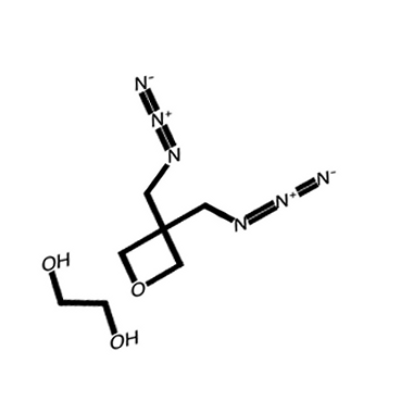 OCCO.[N-]=[N+]=NCC1(CN=[N+]=[N-])COC1